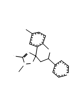 CN1OC2(CC(c3ccncc3)Oc3ccc(Br)cc32)N=C1N